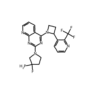 FC1(P)CCN(c2nc(N3CCC3c3cccnc3C(F)(F)F)c3cccnc3n2)C1